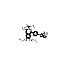 COc1cc2c(cc1OC)C(c1ccc(N3CC4(CCS4(=O)=O)C3)cc1)=NN(C(C)=O)C(C)=C2